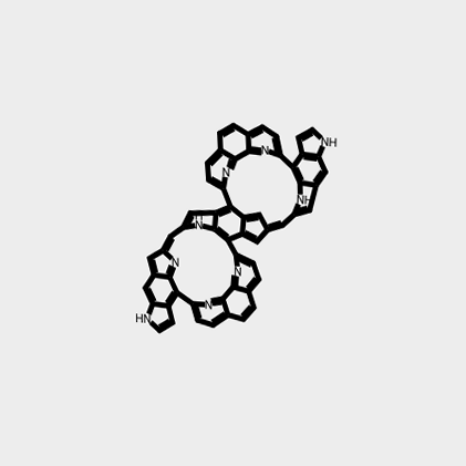 c1cc2c(cc3cc4cc5cc6c([nH]5)c(c5ccc7ccc8ccc(nc8c7n5)c2c3n4)c2cc3cc4cc5cc7[nH]ccc7c(c7ccc8ccc9ccc(nc9c8n7)c6c2c3)c5[nH]4)[nH]1